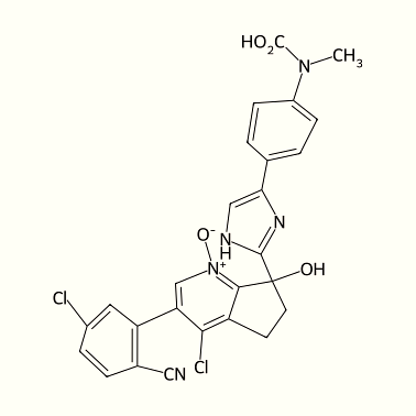 CN(C(=O)O)c1ccc(-c2c[nH]c(C3(O)CCc4c(Cl)c(-c5cc(Cl)ccc5C#N)c[n+]([O-])c43)n2)cc1